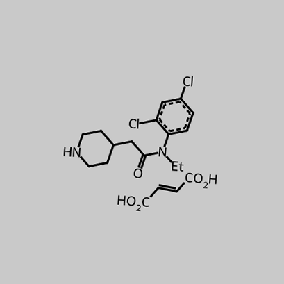 CCN(C(=O)CC1CCNCC1)c1ccc(Cl)cc1Cl.O=C(O)/C=C/C(=O)O